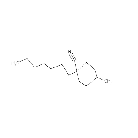 CCCCCCCC1(C#N)CCC(C)CC1